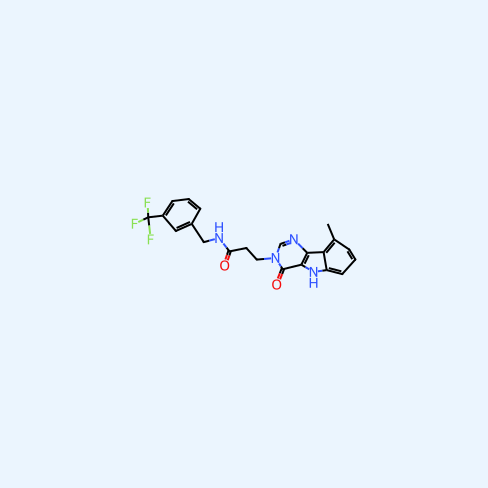 Cc1cccc2[nH]c3c(=O)n(CCC(=O)NCc4cccc(C(F)(F)F)c4)cnc3c12